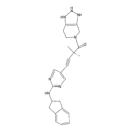 CC(C)(C#Cc1cnc(NC2Cc3ccccc3C2)nc1)C(=O)N1CCC2=C(C1)NNN2